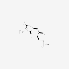 C/C=C(\C=C/CN(C)C)/C=C1/OC(=O)N(CC)C1=O